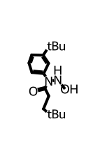 CC(C)(C)CCC(=O)N(NO)c1cccc(C(C)(C)C)c1